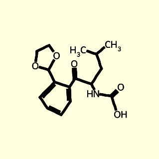 CC(C)CC(NC(=O)O)C(=O)c1ccccc1C1OCCO1